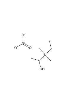 CC[N+](C)(C)C(C)O.O=[N+]([O-])[O-]